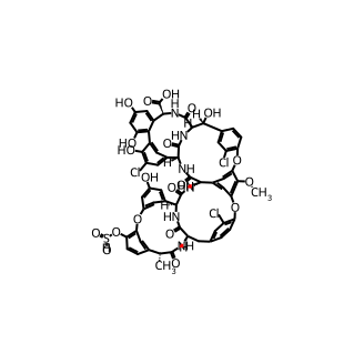 COc1c2cc3cc1Oc1ccc(cc1Cl)[C@@H](O)[C@H]1NC(=O)[C@H](NC(=O)[C@@H]3NC(=O)[C@H]3NC(=O)[C@@H](Cc4ccc(c(Cl)c4)O2)NC(=O)[C@H](C)c2ccc(O[SH](=O)=O)c(c2)Oc2cc(O)cc3c2)c2cc(Cl)c(O)c(c2)-c2c(O)cc(O)cc2[C@@H](C(=O)O)NC1=O